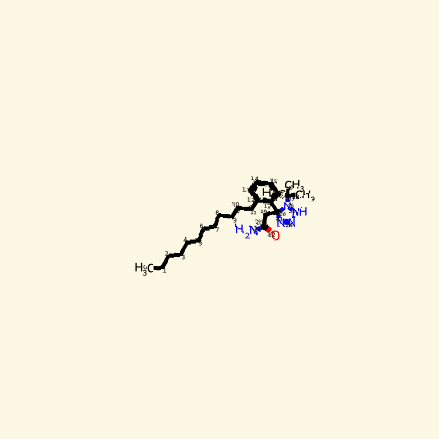 CCCCCCCCCCCCc1ccccc1C1(CC(N)=O)N=NNN1C(C)(C)C